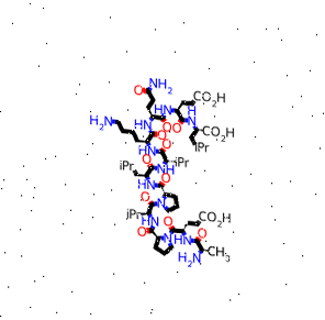 CC(C)C[C@H](NC(=O)[C@H](CCC(=O)O)NC(=O)[C@H](CCC(N)=O)NC(=O)[C@H](CCCCN)NC(=O)[C@@H](NC(=O)[C@H](CC(C)C)NC(=O)[C@@H]1CCCN1C(=O)[C@@H](NC(=O)[C@@H]1CCCN1C(=O)[C@H](CCC(=O)O)NC(=O)[C@H](C)N)C(C)C)C(C)C)C(=O)O